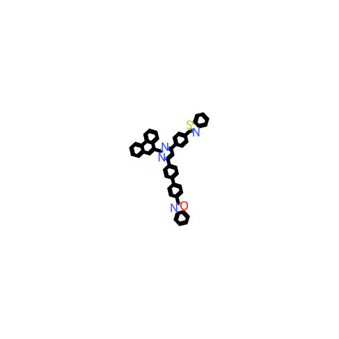 c1ccc2c(c1)cc(-c1nc(-c3ccc(-c4ccc(-c5nc6ccccc6o5)cc4)cc3)cc(-c3ccc(-c4nc5ccccc5s4)cc3)n1)c1ccccc12